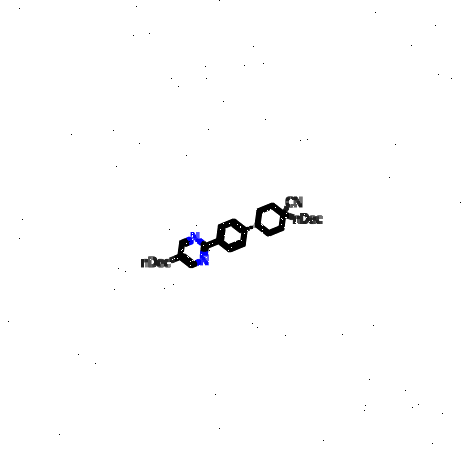 CCCCCCCCCCc1cnc(-c2ccc([C@H]3CC[C@@](C#N)(CCCCCCCCCC)CC3)cc2)nc1